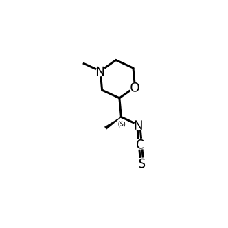 C[C@H](N=C=S)C1CN(C)CCO1